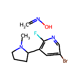 C=NO.CN1CCCC1c1cc(Br)cnc1F